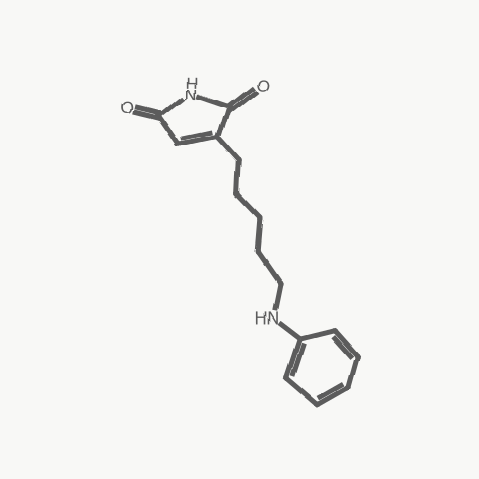 O=C1C=C(CCCCCNc2ccccc2)C(=O)N1